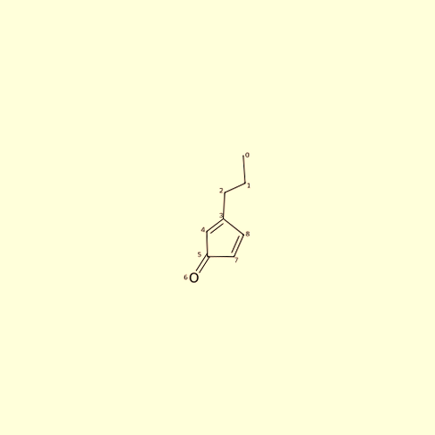 CCCC1=CC(=O)C=C1